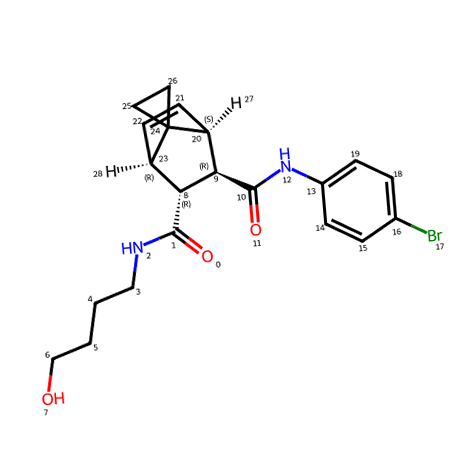 O=C(NCCCCO)[C@H]1[C@H](C(=O)Nc2ccc(Br)cc2)[C@@H]2C=C[C@H]1C21CC1